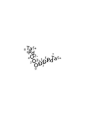 [O-2].[O-2].[O-2].[O-2].[O-2].[Pd].[Pd].[Ta+5].[Ta+5]